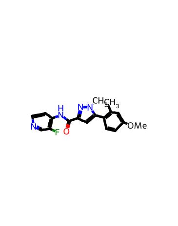 COc1ccc(-c2cc(C(=O)Nc3ccncc3F)nn2C)c(C)c1